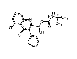 C[C@H](OC(=O)NC(C)(C)C)c1nc2cccc(Cl)c2c(=O)n1-c1ccccc1